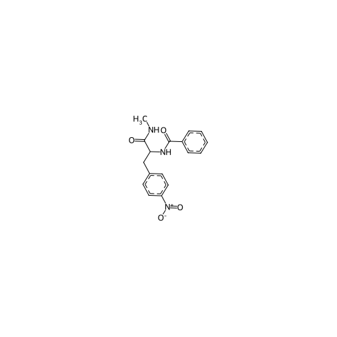 CNC(=O)C(Cc1ccc([N+](=O)[O-])cc1)NC(=O)c1ccccc1